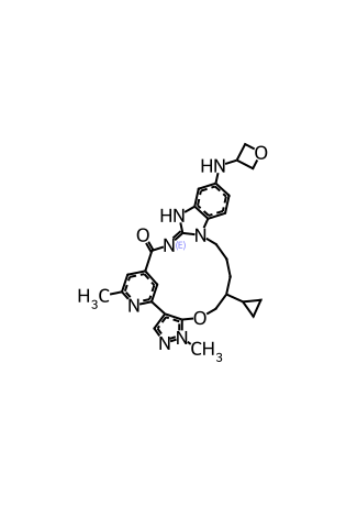 Cc1cc2cc(n1)-c1cnn(C)c1OCC(C1CC1)CCCN1/C(=N/C2=O)Nc2cc(NC3COC3)ccc21